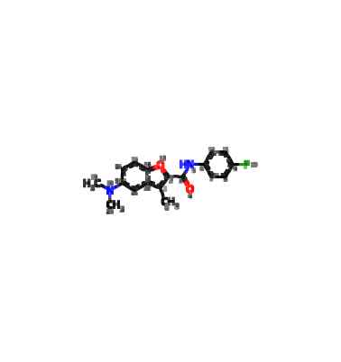 Cc1c(C(=O)Nc2ccc(F)cc2)oc2ccc(N(C)C)cc12